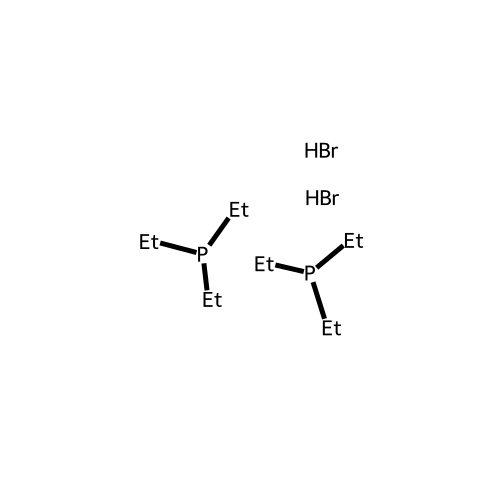 Br.Br.CCP(CC)CC.CCP(CC)CC